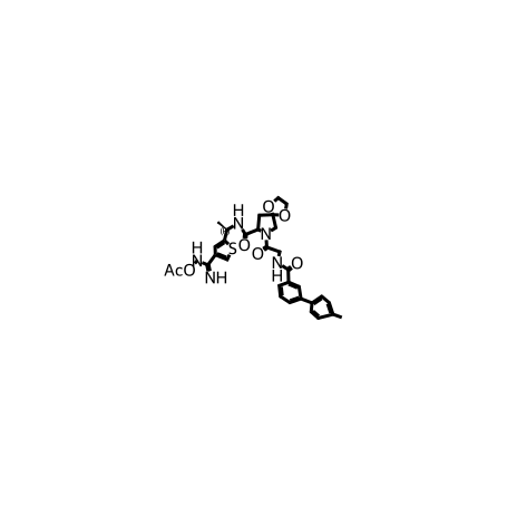 CC(=O)ONC(=N)c1csc([C@@H](C)NC(=O)C2CC3(CN2C(=O)CNC(=O)c2cccc(-c4ccc(C)cc4)c2)OCCO3)c1